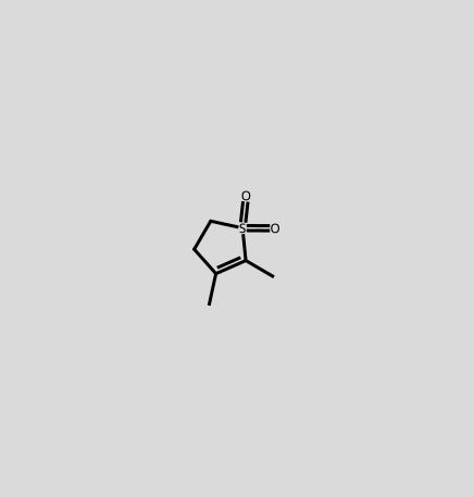 CC1=C(C)S(=O)(=O)CC1